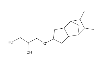 CC1C(C)C2CC1C1CC(OCC(O)CO)CC21